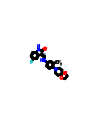 O=C1Nc2ccc(F)cc2/C1=C\Nc1ccc(N2CCC3(CC2)OCCO3)c(C(F)(F)F)c1